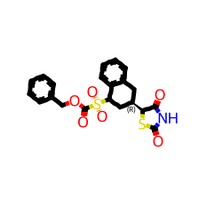 O=C1NC(=O)C([C@@H]2Cc3ccccc3C(S(=O)(=O)C(=O)OCc3ccccc3)C2)S1